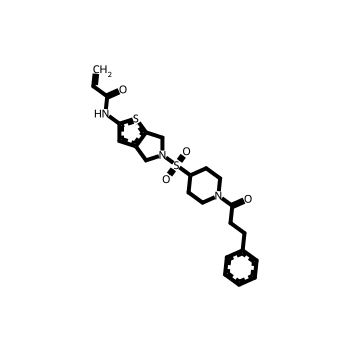 C=CC(=O)Nc1cc2c(s1)CN(S(=O)(=O)C1CCN(C(=O)CCc3ccccc3)CC1)C2